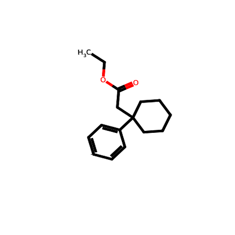 CCOC(=O)CC1(c2cc[c]cc2)CCCCC1